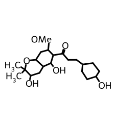 COC1CC2OC(C)(C)C(O)CC2C(O)C1C(=O)CCC1CCC(O)CC1